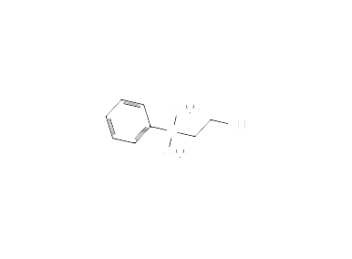 CO[Si](CCS)(OC)c1ccccc1